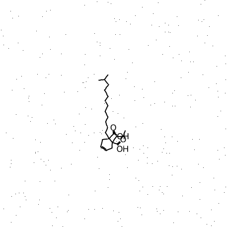 CCC(C)C1(C(=O)O)CC=CCC1(CCCCCCCCCCC(C)C)C(=O)O